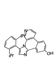 CC(C)c1cccc(C(C)C)c1-c1cnc2c3cc(O)ccc3c3ccncc3n12